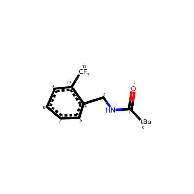 CC(C)(C)C(=O)NCc1ccccc1C(F)(F)F